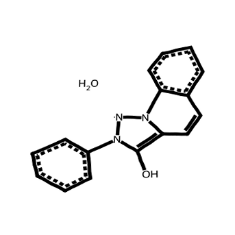 O.OC1=C2C=Cc3ccccc3N2[N]N1c1ccccc1